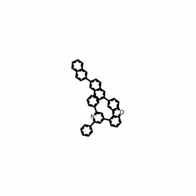 c1ccc(-c2cc(-c3cccc4oc5ccc(-c6ccc7cc(-c8ccc9ccccc9c8)ccc7c6)cc5c34)cc(-c3ccccc3)n2)cc1